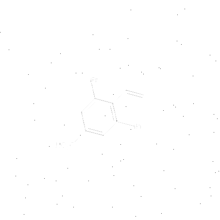 C=Cc1c(C(C)C)cc(C(=O)O)cc1C(C)C